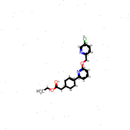 CCOC(=O)CC1CC=C(c2cccc(OCc3ccc(Cl)cn3)n2)CC1